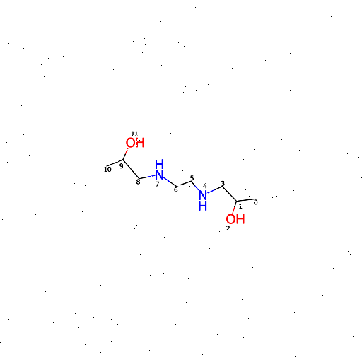 CC(O)CNCCNCC(C)O